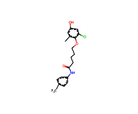 Cc1cc(O)cc(Cl)c1OCCCCC(=O)Nc1ccc(C(F)(F)F)cc1